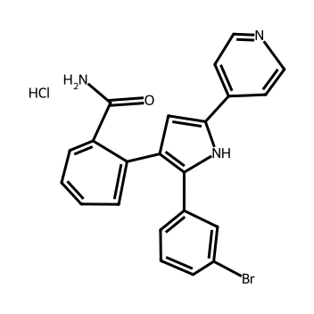 Cl.NC(=O)c1ccccc1-c1cc(-c2ccncc2)[nH]c1-c1cccc(Br)c1